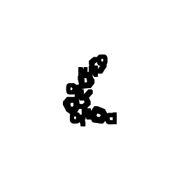 CC(=O)N(c1ccc(Cl)cc1)C1CC(C)N(C(=O)c2ccc(N3CCOCC3)nc2)c2ccccc21